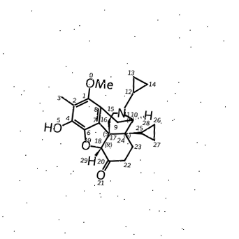 COc1c(C)c(O)c2c3c1C[C@H]1N(C4CC4)CC[C@@]34[C@@H](O2)C(=O)CC[C@@]14C1CC1